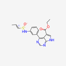 C/C=C/[S+]([O-])Nc1cccc(-c2ncnc3[nH]cc(C(=O)OCC)c23)c1